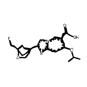 CC(C)Oc1cc2nc(C34COC(CF)(C3)C4)cn2cc1C(=O)O